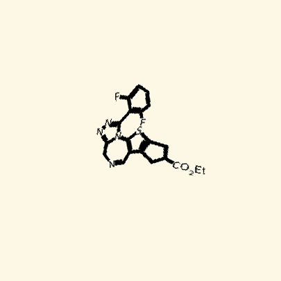 CCOC(=O)C1Cc2sc3c(c2C1)C=NCc1nnc(-c2c(F)cccc2F)n1-3